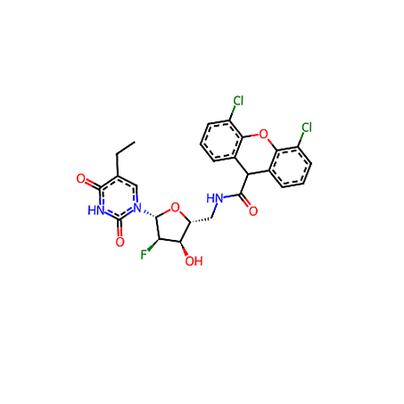 CCc1cn([C@@H]2O[C@H](CNC(=O)C3c4cccc(Cl)c4Oc4c(Cl)cccc43)[C@@H](O)[C@H]2F)c(=O)[nH]c1=O